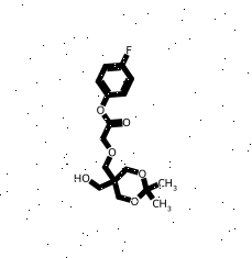 CC1(C)OCC(CO)(COCC(=O)Oc2ccc(F)cc2)CO1